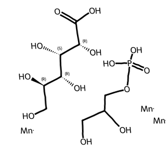 O=C(O)[C@H](O)[C@@H](O)[C@H](O)[C@H](O)CO.O=P(O)(O)OCC(O)CO.[Mn].[Mn].[Mn]